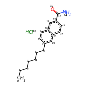 CCCCCCCc1ccc2cc(C(N)=O)ccc2c1.Cl